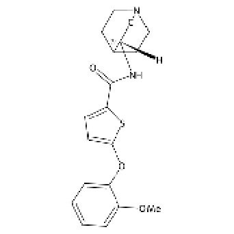 COc1ccccc1Oc1ccc(C(=O)N[C@H]2CN3CCC2CC3)s1